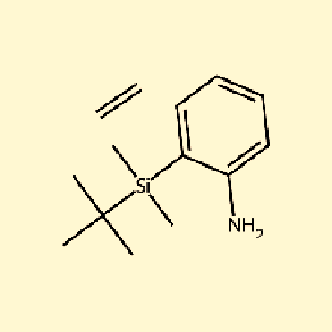 C=C.CC(C)(C)[Si](C)(C)c1ccccc1N